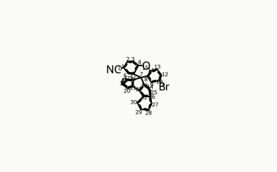 N#Cc1ccc2c(c1)C1(c3cc(Br)ccc3O2)c2ccccc2-c2c1ccc1ccccc21